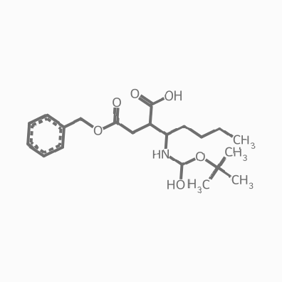 CCCCC(NC(O)OC(C)(C)C)C(CC(=O)OCc1ccccc1)C(=O)O